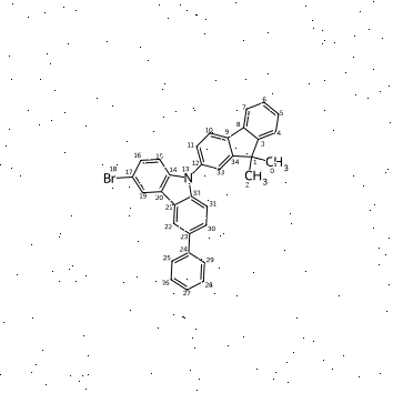 CC1(C)c2ccccc2-c2ccc(-n3c4ccc(Br)cc4c4cc(-c5ccccc5)ccc43)cc21